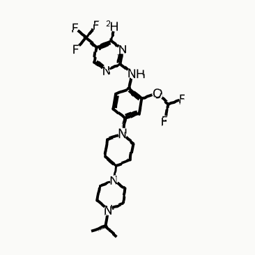 [2H]c1nc(Nc2ccc(N3CCC(N4CCN(C(C)C)CC4)CC3)cc2OC(F)F)ncc1C(F)(F)F